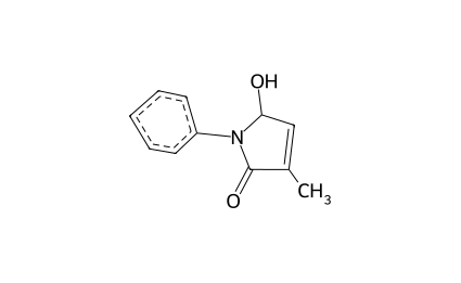 CC1=CC(O)N(c2ccccc2)C1=O